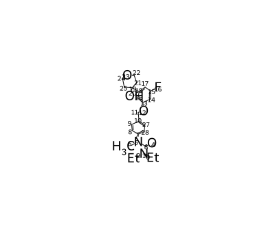 CCN(CC)C(=O)N(C)c1ccc(COc2cc(F)cc(C3(O)CCOCC3)c2)cc1